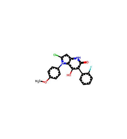 COc1ccc(-n2c(Cl)cc3[nH]c(=O)c(-c4ccccc4F)c(O)c32)cc1